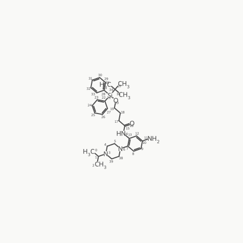 CC(C)N1CCN(c2ccc(N)cc2NC(=O)CCCO[Si](c2ccccc2)(c2ccccc2)C(C)(C)C)CC1